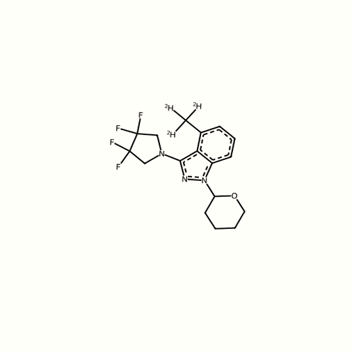 [2H]C([2H])([2H])c1cccc2c1c(N1CC(F)(F)C(F)(F)C1)nn2C1CCCCO1